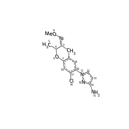 CO/N=C(/C)C(C)Oc1ccc(-n2ccc(N)n2)c(Cl)c1